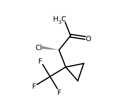 CC(=O)[C@@H](Cl)C1(C(F)(F)F)CC1